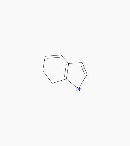 C1=CC2=C(CC1)[N]C=C2